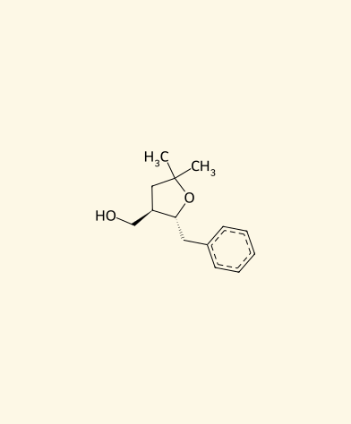 CC1(C)C[C@H](CO)[C@@H](Cc2ccccc2)O1